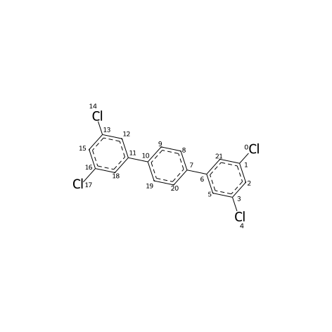 Clc1cc(Cl)cc(-c2ccc(-c3cc(Cl)cc(Cl)c3)cc2)c1